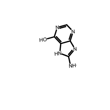 [NH]c1nc2ncnc(O)c2[nH]1